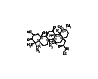 CCNC(=O)C[C@]12CC[C@@H](C)[C@H](C)[C@H]1[C@H]1C(=O)C=C3[C@@]4(C)C=C(C#N)C(=O)C(C)(C)[C@@H]4CC[C@@]3(C)[C@]1(C)CC2